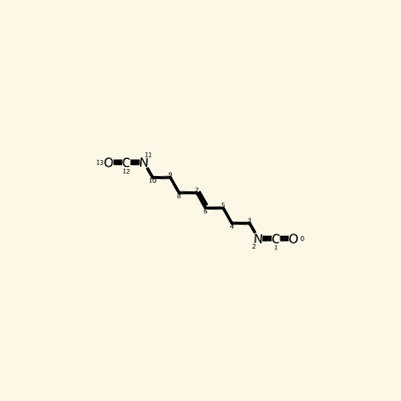 O=C=NCCC/C=C/CCCN=C=O